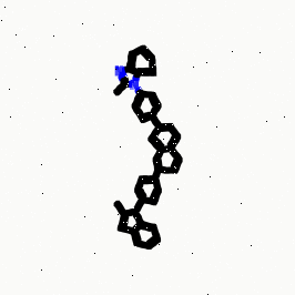 CC1=Cc2ccccc2C1c1ccc(-c2ccc3ccc(-c4ccc(-n5c(C)nc6ccccc65)cc4)cc3c2)cc1